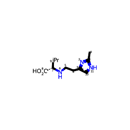 Cc1nc(CCN[C@H](C(=O)O)C(C)C)c[nH]1